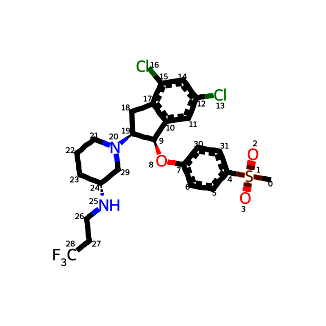 CS(=O)(=O)c1ccc(O[C@@H]2c3cc(Cl)cc(Cl)c3C[C@@H]2N2CCC[C@@H](NCCC(F)(F)F)C2)cc1